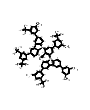 Cc1cc(C)cc(-c2ccc3c(c2)c2cc(-c4cc(C)cc(C(F)(F)F)c4)ccc2n3-c2cc(-c3cc(C)cc(C(F)(F)F)c3)cc(-n3c4ccc(-c5cc(C)cc(C(F)(F)F)c5)cc4c4cc(-c5cc(C(F)(F)F)cc(C(F)(F)F)c5)ccc43)c2C#N)c1